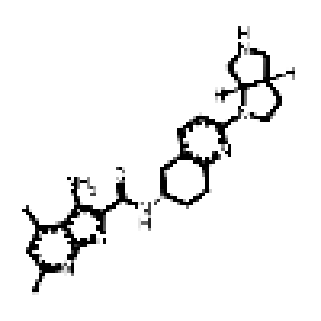 Cc1cc(C)c2c(N)c(C(=O)N[C@H]3CCc4nc(N5CC[C@H]6CNC[C@H]65)ccc4C3)sc2n1